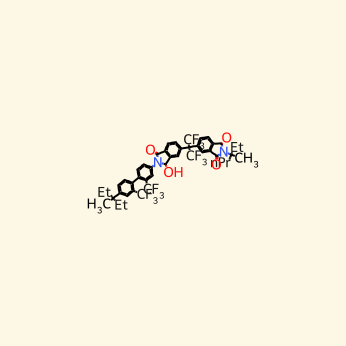 CCCC(C)(CC)N1C(=O)c2ccc(C(c3ccc4c(c3)C(O)N(c3ccc(-c5ccc(C(C)(CC)CC)cc5C(F)(F)F)c(C(F)(F)F)c3)C4=O)(C(F)(F)F)C(F)(F)F)cc2C1=O